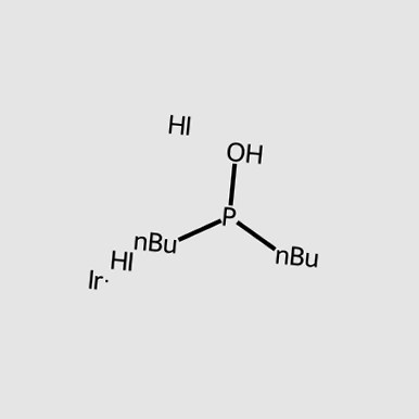 CCCCP(O)CCCC.I.I.[Ir]